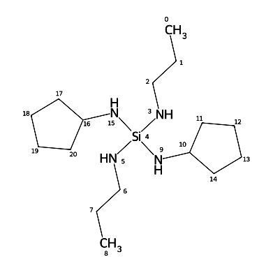 CCCN[Si](NCCC)(NC1CCCC1)NC1CCCC1